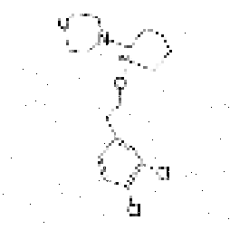 Clc1ccc(CCO[C@H]2CCCCC2N2CCOCC2)cc1Cl